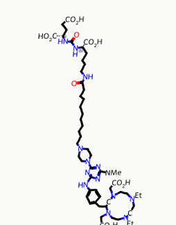 CCN1CCN(CC)CCN(CC(=O)O)C(Cc2ccc(Nc3nc(NC)nc(N4CCN(CCCCCCCCCCC(=O)NCCCC[C@H](NC(=O)N[C@@H](CCC(=O)O)C(=O)O)C(=O)O)CC4)n3)cc2)CN(CC(=O)O)CC1